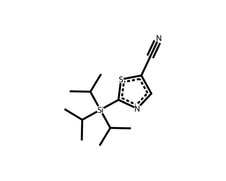 CC(C)[Si](c1ncc(C#N)s1)(C(C)C)C(C)C